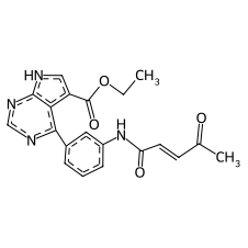 CCOC(=O)c1c[nH]c2ncnc(-c3cccc(NC(=O)C=CC(C)=O)c3)c12